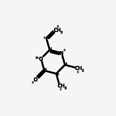 C=CC1=NC(C)C(C)C(=O)O1